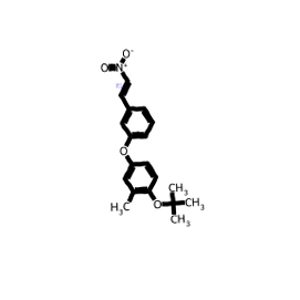 Cc1cc(Oc2cccc(/C=C/[N+](=O)[O-])c2)ccc1OC(C)(C)C